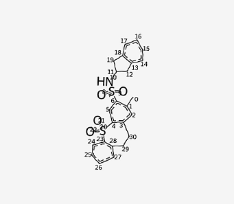 Cc1cc2c(cc1S(=O)(=O)NC1Cc3ccccc3C1)S(=O)(=O)c1ccccc1CC2